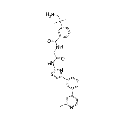 Cc1cc(-c2cccc(-c3csc(NC(=O)CNC(=O)c4cccc(C(C)(C)CN)c4)n3)c2)ccn1